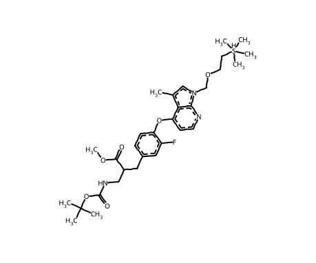 COC(=O)C(CNC(=O)OC(C)(C)C)Cc1ccc(Oc2ccnc3c2c(C)cn3COCC[SH](C)(C)(C)C)c(F)c1